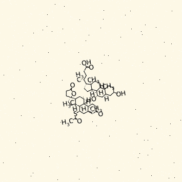 CC(=O)S[C@@H]1CC2=CC(=O)CC[C@]2(C)[C@H]2CC[C@@]3(C)[C@@H](CC[C@@]34CCC(=O)O4)[C@H]12.C[C@H](CCC(=O)O)[C@H]1CC[C@H]2[C@@H]3[C@@H](O)C[C@@H]4C[C@H](O)CC[C@]4(C)[C@H]3CC[C@]12C